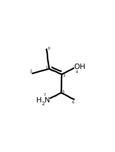 CC(C)=C(O)C(C)N